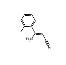 Cc1ccccc1C(N)=CC#N